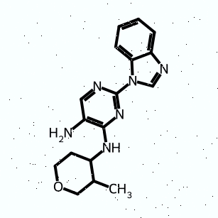 CC1COCCC1Nc1nc(-n2cnc3ccccc32)ncc1N